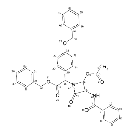 CC(=O)OC1C(NC(=O)c2ccccc2)C(=O)N1C(C(=O)OCc1ccccc1)c1ccc(OCc2ccccc2)cc1